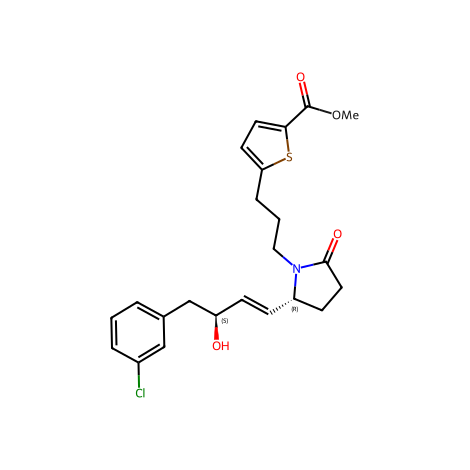 COC(=O)c1ccc(CCCN2C(=O)CC[C@@H]2C=C[C@@H](O)Cc2cccc(Cl)c2)s1